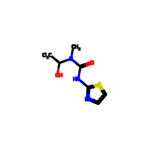 CN(C(=O)Nc1nccs1)C(O)C(Cl)(Cl)Cl